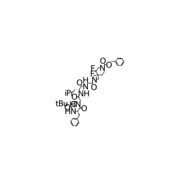 CC(C)C[C@@H](NC(=O)CNC(=O)[C@@H](Cc1ccccc1)NC(=O)OC(C)(C)C)C(=O)NCC(=O)N1CC2(CCN(C(=O)OCc3ccccc3)CC2(F)F)C1